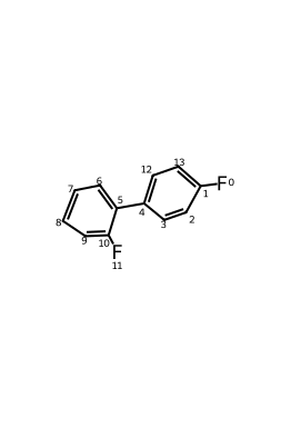 Fc1ccc(-c2ccccc2F)cc1